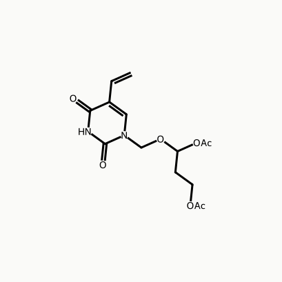 C=Cc1cn(COC(CCOC(C)=O)OC(C)=O)c(=O)[nH]c1=O